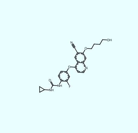 N#Cc1cc2c(Oc3ccc(NC(=O)NC4CC4)c(F)c3)ccnc2cc1OCCCCO